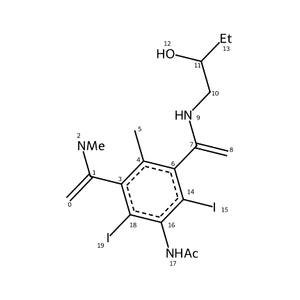 C=C(NC)c1c(C)c(C(=C)NCC(O)CC)c(I)c(NC(C)=O)c1I